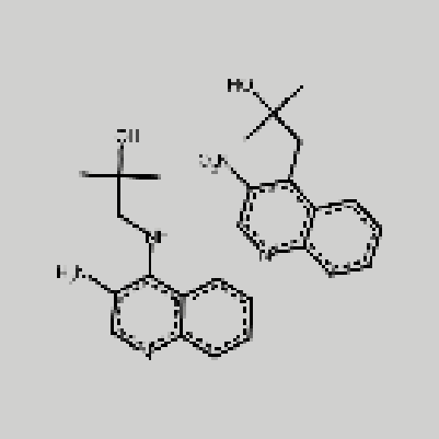 CC(C)(O)CNc1c(N)cnc2ccccc12.CC(C)(O)Cc1c([N+](=O)[O-])cnc2ccccc12